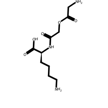 NCCCC[C@H](NC(=O)COC(=O)CN)C(=O)O